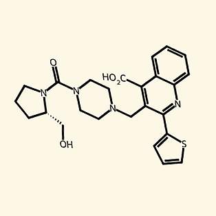 O=C(O)c1c(CN2CCN(C(=O)N3CCC[C@H]3CO)CC2)c(-c2cccs2)nc2ccccc12